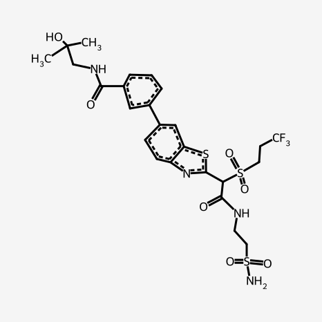 CC(C)(O)CNC(=O)c1cccc(-c2ccc3nc(C(C(=O)NCCS(N)(=O)=O)S(=O)(=O)CCC(F)(F)F)sc3c2)c1